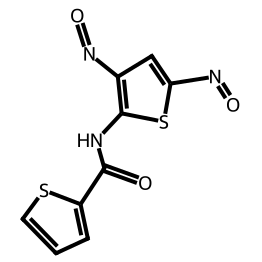 O=Nc1cc(N=O)c(NC(=O)c2cccs2)s1